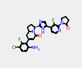 Nc1ccc(Cl)c(F)c1C1=CC(=O)N2C(CC[C@H]2c2ncc(-c3ccnc(N4CCCC4=O)c3F)[nH]2)C1